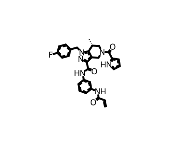 C=CC(=O)Nc1cccc(NC(=O)c2nn(Cc3ccc(F)cc3)c3c2CN(C(=O)c2ccc[nH]2)C[C@H]3C)c1